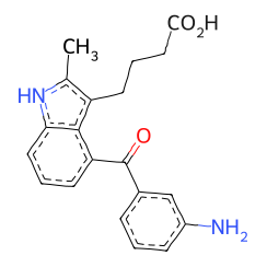 Cc1[nH]c2cccc(C(=O)c3cccc(N)c3)c2c1CCCC(=O)O